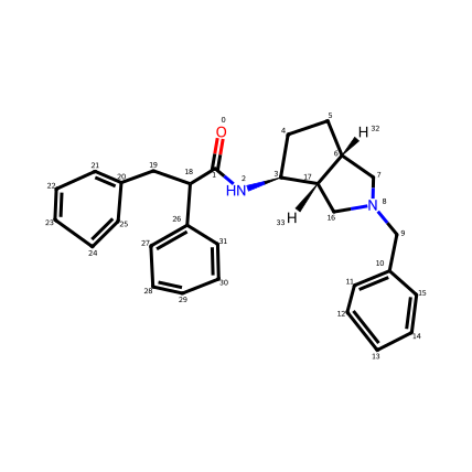 O=C(N[C@H]1CC[C@@H]2CN(Cc3ccccc3)C[C@@H]21)C(Cc1ccccc1)c1ccccc1